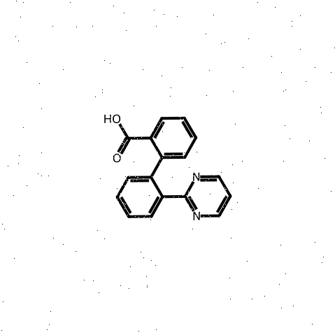 O=C(O)c1ccccc1-c1ccccc1-c1ncccn1